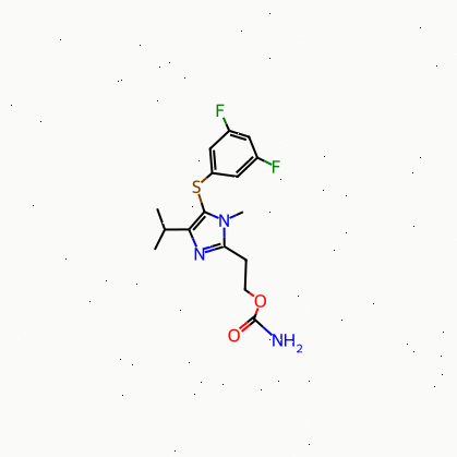 CC(C)c1nc(CCOC(N)=O)n(C)c1Sc1cc(F)cc(F)c1